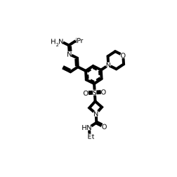 C=C/C(=C\N=C(\N)C(C)C)c1cc(N2CCOCC2)cc(S(=O)(=O)C2CN(C(=O)NCC)C2)c1